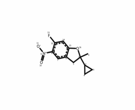 CC1(C2CC2)Cc2cc([N+](=O)[O-])c(F)cc2O1